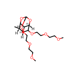 COCCOCCOC1C2OC3O[C@@H]1C(OCCOCCOC)[C@@H](O3)[C@@H]2C